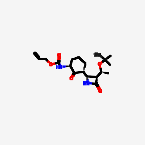 C=CCOC(=O)N[C@@H]1CCC[C@H]([C@H]2NC(=O)[C@@H]2[C@@H](C)O[Si](C)(C)C(C)(C)C)C1=O